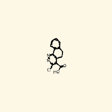 O=C(O)c1c(Cl)nnc2c1CCc1ccccc1-2